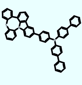 c1ccc(-c2ccc(N(c3ccc(-c4ccccc4)cc3)c3ccc(-c4ccc5c(c4)c4cccc6c7ccccc7sc7ccccc7n5c64)cc3)cc2)cc1